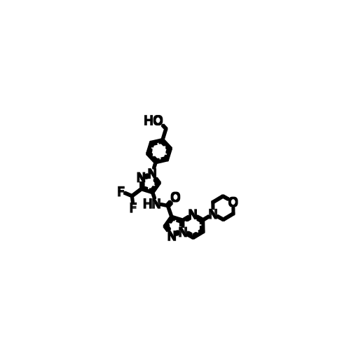 O=C(Nc1cn(-c2ccc(CO)cc2)nc1C(F)F)c1cnn2ccc(N3CCOCC3)nc12